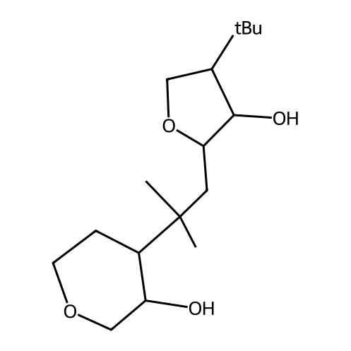 CC(C)(C)C1COC(CC(C)(C)C2CCOCC2O)C1O